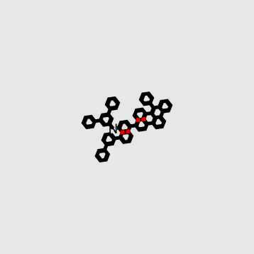 c1ccc(-c2cc(-c3ccccc3)cc(N(c3ccc(-c4ccc(-c5cccc6c5c(-c5ccccc5)c(-c5ccccc5)c5ccccc56)cc4)cc3)c3ccc(-c4ccccc4)cc3-c3ccccc3)c2)cc1